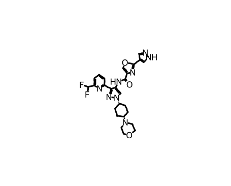 O=C(Nc1cn([C@H]2CC[C@H](N3CCOCC3)CC2)nc1-c1cccc(C(F)F)n1)c1coc(-c2cn[nH]c2)n1